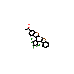 CC(=O)c1ccc2c(C3=C(c4c(C)sc5ccccc45)C(F)(F)C(F)(F)C3(F)F)c(C)sc2c1